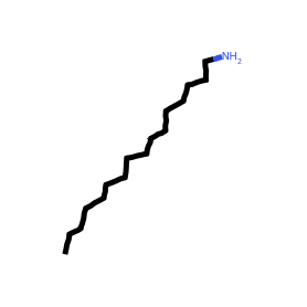 CCCCCCCCC[CH]CCCCCCN